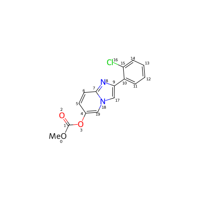 COC(=O)Oc1ccc2nc(-c3ccccc3Cl)cn2c1